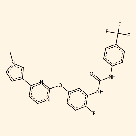 Cn1ccc(-c2ccnc(Oc3ccc(F)c(NC(=O)Nc4ccc(C(F)(F)F)cc4)c3)n2)c1